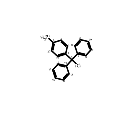 Pc1ccc(C(Cl)(c2ccccc2)c2ccccc2)cc1